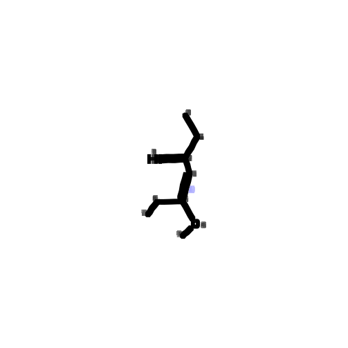 CCC(=N)/C=C(\CC)OC